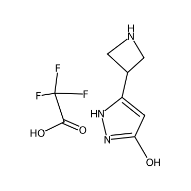 O=C(O)C(F)(F)F.Oc1cc(C2CNC2)[nH]n1